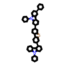 c1ccc(-c2ccc3c(c2)c2ccc(-c4ccc5c(c4)sc4cc(-c6cccc7c6c6ccccc6n7-c6ccccc6)ccc45)cc2n3-c2ccccc2)cc1